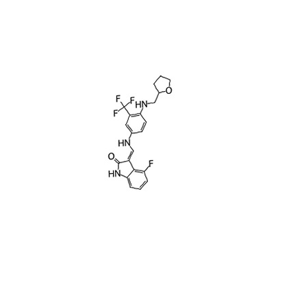 O=C1Nc2cccc(F)c2C1=CNc1ccc(NCC2CCCO2)c(C(F)(F)F)c1